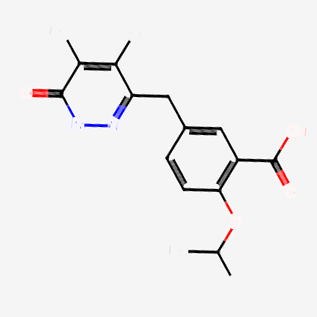 Cc1c(Cc2ccc(OC(C)C)c(C(=O)O)c2)n[nH]c(=O)c1C